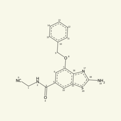 N#CCNC(=O)c1cc(OCc2ccccc2)c2nc(N)sc2c1